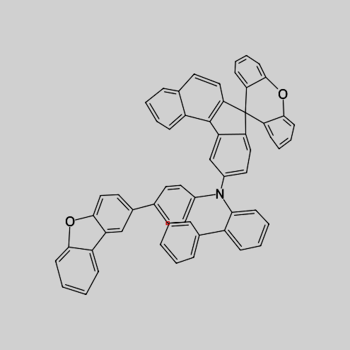 c1ccc(-c2ccccc2N(c2ccc(-c3ccc4oc5ccccc5c4c3)cc2)c2ccc3c(c2)-c2c(ccc4ccccc24)C32c3ccccc3Oc3ccccc32)cc1